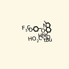 Cc1ccc2ccc(C(=O)N[C@H](C(=O)O)C(C)(C)C)c(OCc3ccc(OC(F)(F)F)cc3)c2n1